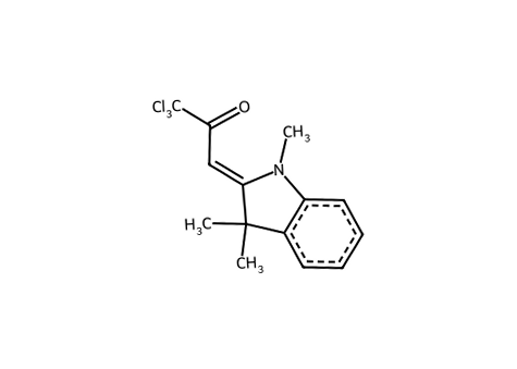 CN1C(=CC(=O)C(Cl)(Cl)Cl)C(C)(C)c2ccccc21